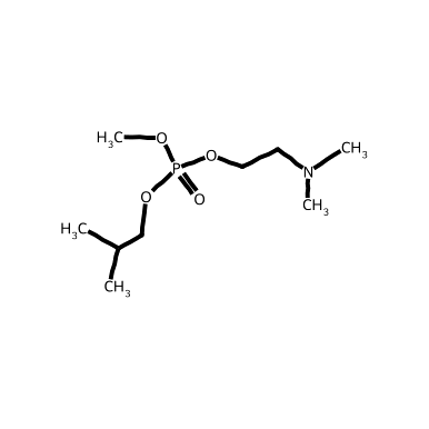 COP(=O)(OCCN(C)C)OCC(C)C